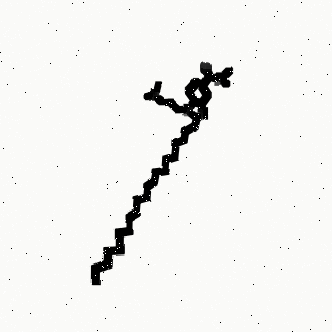 CCCCCCCCCCCCCCCCCCCCCc1nc2cc(C(=O)N(C)C)ccc2n1CCCN(C)C